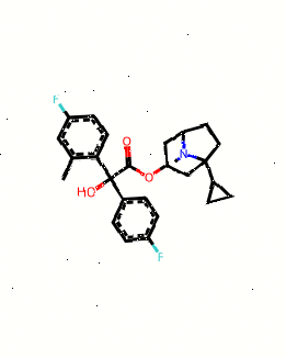 Cc1cc(F)ccc1C(O)(C(=O)OC1CC2CCC(C3CC3)(C1)N2C)c1ccc(F)cc1